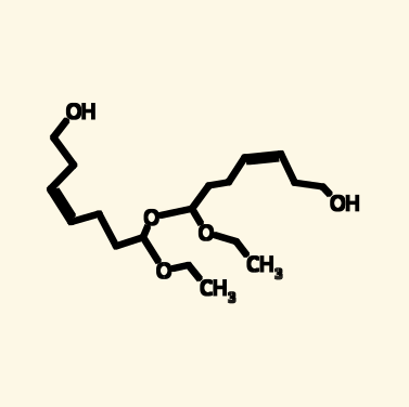 CCOC(CC/C=C\CCO)OC(CC/C=C\CCO)OCC